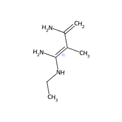 C=C(N)/C(C)=C(\N)NCC